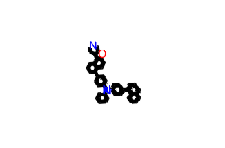 c1ccc(N(c2ccc(-c3cccc4ccccc34)cc2)c2ccc(-c3cccc4c3ccc3oc5cnccc5c34)cc2)cc1